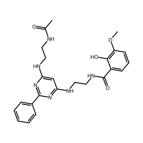 COc1cccc(C(=O)NCCNc2cc(NCCNC(C)=O)nc(-c3ccccc3)n2)c1O